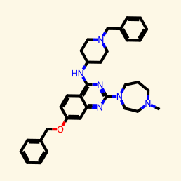 CN1CCCN(c2nc(NC3CCN(Cc4ccccc4)CC3)c3ccc(OCc4ccccc4)cc3n2)CC1